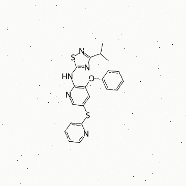 CC(C)c1nsc(Nc2ncc(Sc3ccccn3)cc2Oc2ccccc2)n1